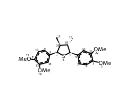 COc1ccc([C@H]2S[C@@H](c3ccc(OC)c(OC)c3)[C@@H](C)[C@@H]2C)cc1OC